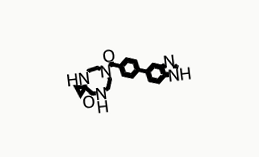 O=C(c1ccc(-c2ccc3[nH]cnc3c2)cc1)N1CCNC(=O)C2(CC2)NCC1